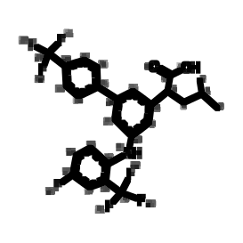 CC(C)CC(C(=O)O)c1cc(Nc2ccc(F)cc2C(F)(F)F)cc(-c2ccc(C(F)(F)F)cc2)c1